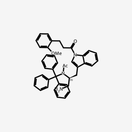 COc1ccccc1CCC(=O)n1cc(C[C@@H](CN)N(C(C)=O)C(c2ccccc2)(c2ccccc2)c2ccccc2)c2ccccc21